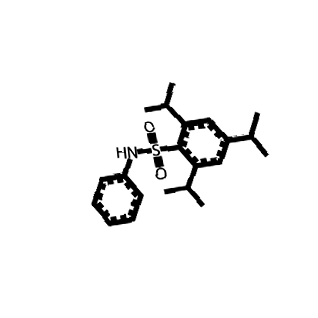 CC(C)c1cc(C(C)C)c(S(=O)(=O)Nc2ccccc2)c(C(C)C)c1